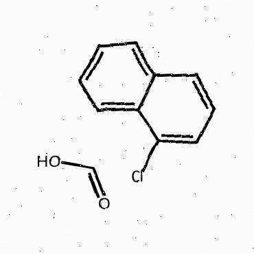 Clc1cccc2ccccc12.O=CO